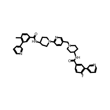 Cc1ccc(C(=O)NC2CCN(c3ccc(CN4CCC(NC(=O)c5ccc(F)c(-c6cccnc6)c5)CC4)cn3)CC2)cc1-c1cccnc1